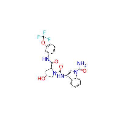 NC(=O)n1cc(NC(=O)N2C[C@@H](O)C[C@H]2C(=O)Nc2cccc(OC(F)(F)F)c2)c2ccccc21